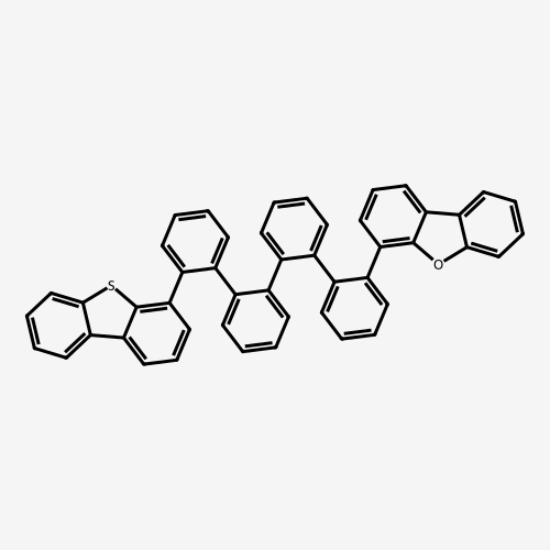 c1ccc(-c2ccccc2-c2cccc3c2oc2ccccc23)c(-c2ccccc2-c2ccccc2-c2cccc3c2sc2ccccc23)c1